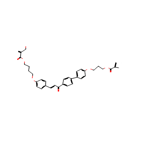 C=C(C)C(=O)OCCCOc1ccc(-c2ccc(C(=O)/C=C/c3ccc(OCCCCOC(=O)C(=C)CO)cc3)cc2)cc1